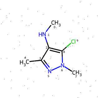 CNc1c(C)nn(C)c1Cl